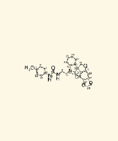 Cc1ccc(NC(=O)NCCN2C(=O)C3(COc4cc5c(cc43)OCO5)c3ccccc32)cc1